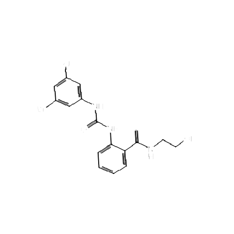 O=C(Nc1cc(Cl)cc(Br)c1)Nc1ccccc1C(=O)NCCO